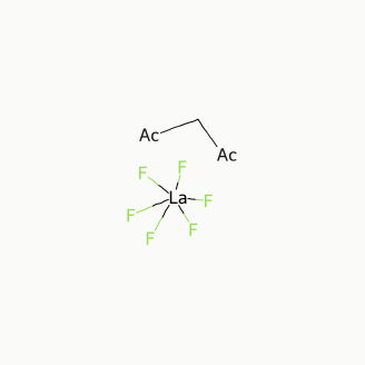 CC(=O)CC(C)=O.[F][La]([F])([F])([F])([F])[F]